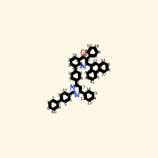 c1ccc(-c2ccc(-c3nc(-c4ccccc4)cc(-c4ccc(-c5cccc6c5nc(-c5cc7ccccc7c7ccccc57)c5c7ccccc7oc65)cc4)n3)cc2)cc1